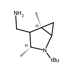 C[C@@H]1C(CN)[C@@]2(C)CC2N1C(C)(C)C